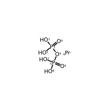 O=P(O)(O)OP(=O)(O)O.[Pr]